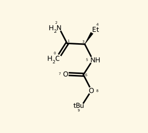 C=C(N)[C@@H](CC)NC(=O)OC(C)(C)C